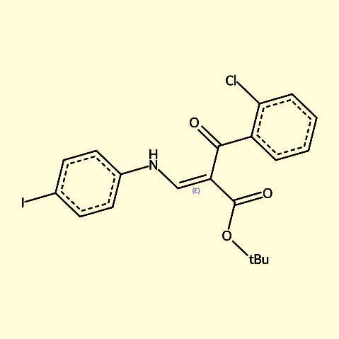 CC(C)(C)OC(=O)/C(=C/Nc1ccc(I)cc1)C(=O)c1ccccc1Cl